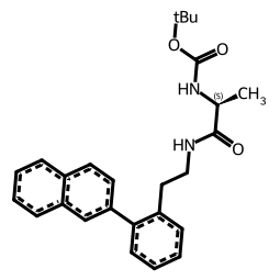 C[C@H](NC(=O)OC(C)(C)C)C(=O)NCCc1ccccc1-c1ccc2ccccc2c1